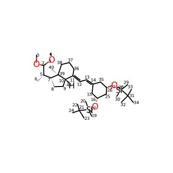 COC(OC)[C@@H](C)[C@H]1CC[C@H]2/C(=C/C=C3C[C@@H](O[Si](C)(C)C(C)(C)C)C[C@H](O[Si](C)(C)C(C)(C)C)C3)CCC[C@]12C